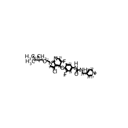 C[Si](C)(C)CCOCn1cc(Cl)c2c(Oc3c(F)cc(NC(=O)NCc4ccncc4)cc3F)ccnc21